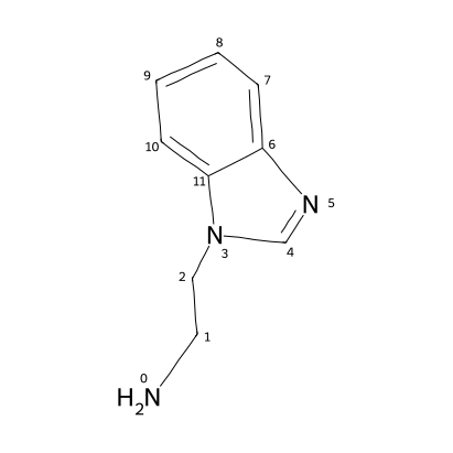 NCCn1cnc2ccccc21